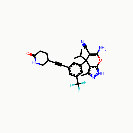 Cc1n[nH]c2c1C(c1cc(C#CC3CCC(=O)NC3)cc(C(F)(F)F)c1)(C(C)C)C(C#N)=C(N)O2